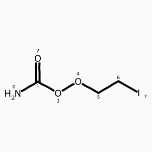 NC(=O)OOCCI